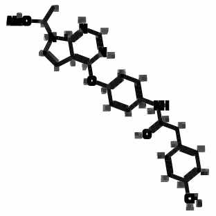 COC(C)n1ccc2c(Oc3ccc(NC(=O)Cc4ccc(C(F)(F)F)cc4)cc3)ncnc21